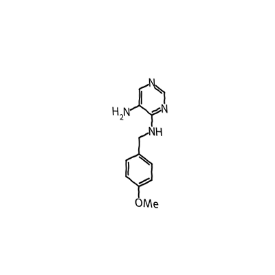 COc1ccc(CNc2ncncc2N)cc1